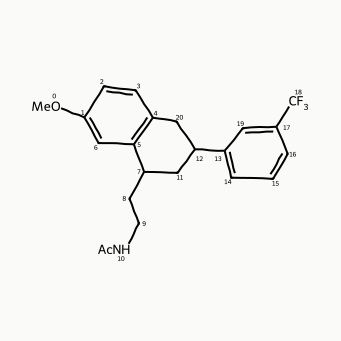 COc1ccc2c(c1)C(CCNC(C)=O)CC(c1cccc(C(F)(F)F)c1)C2